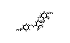 CCCc1ccc(CCc2cc3c(c(F)c2F)Oc2c(ccc(CCC)c2F)C3)cc1